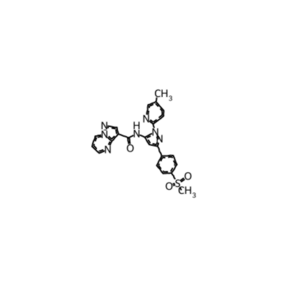 Cc1ccc(-n2nc(-c3ccc(S(C)(=O)=O)cc3)cc2NC(=O)c2cnn3cccnc23)nc1